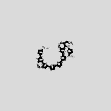 C=CC1=C(Sc2ccc(CCCCCC)s2)c2sc(-c3ccc(-c4ccc(-c5ccc(-c6cc7c(s6)-c6sc(-c8ccc(CCCCCC)s8)cc6SN=N7)s5)s4)s3)cc2N=NS1